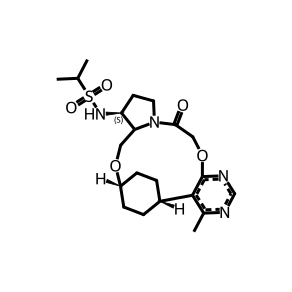 Cc1ncnc2c1[C@H]1CC[C@H](CC1)OCC1[C@@H](NS(=O)(=O)C(C)C)CCN1C(=O)CO2